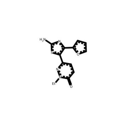 CCn1nc(-c2sc(N)nc2-c2ccco2)ccc1=O